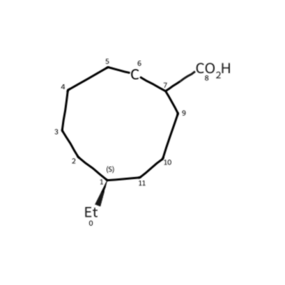 CC[C@H]1CCCCCC(C(=O)O)CCC1